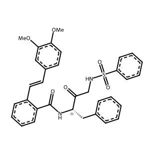 COc1ccc(C=Cc2ccccc2C(=O)N[C@@H](Cc2ccccc2)C(=O)CNS(=O)(=O)c2ccccc2)cc1OC